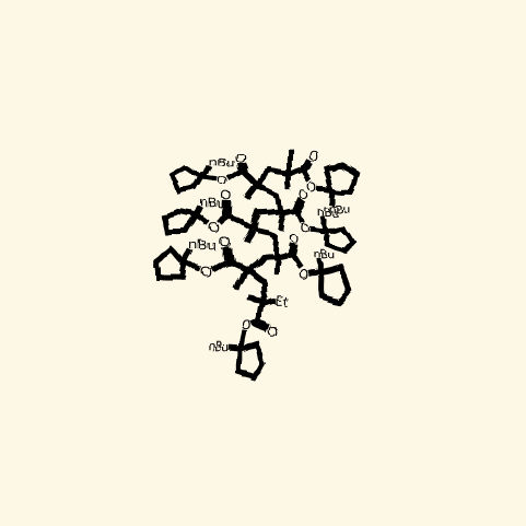 CCCCC1(OC(=O)C(C)(C)CC(C)(CC(C)(CC(C)(CC(C)(CC(C)(CC(C)(CC)C(=O)OC2(CCCC)CCCC2)C(=O)OC2(CCCC)CCCC2)C(=O)OC2(CCCC)CCCC2)C(=O)OC2(CCCC)CCCC2)C(=O)OC2(CCCC)CCCC2)C(=O)OC2(CCCC)CCCC2)CCCC1